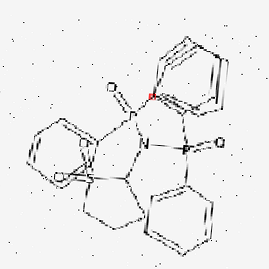 O=P(c1ccccc1)(c1ccccc1)N(C1CCCS1(=O)=O)P(=O)(c1ccccc1)c1ccccc1